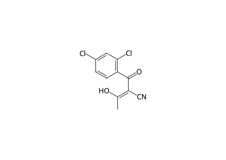 CC(O)=C(C#N)C(=O)c1ccc(Cl)cc1Cl